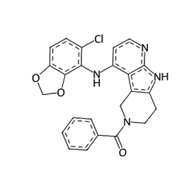 O=C(c1ccccc1)N1CCc2[nH]c3nccc(Nc4c(Cl)ccc5c4OCO5)c3c2C1